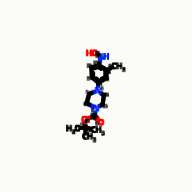 Cc1cc(N2CCN(C(=O)OC(C)(C)C)CC2)ccc1NO